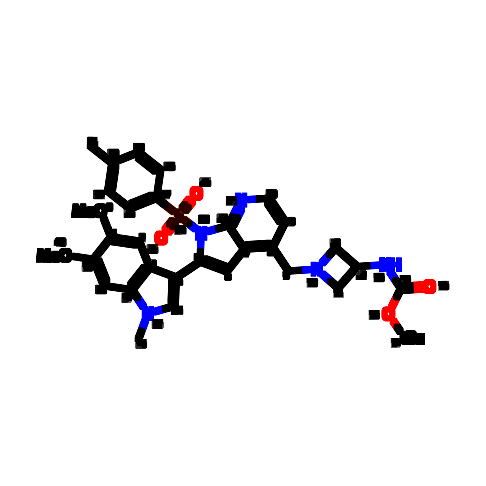 COc1cc2c(-c3cc4c(CN5CC(NC(=O)OC(C)(C)C)C5)ccnc4n3S(=O)(=O)c3ccc(C)cc3)cn(C)c2cc1OC